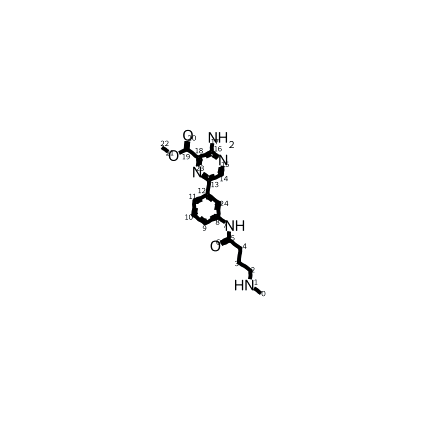 CNCCCC(=O)Nc1cccc(-c2cnc(N)c(C(=O)OC)n2)c1